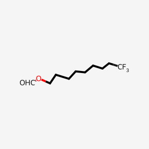 O=COCCCCCCCCC(F)(F)F